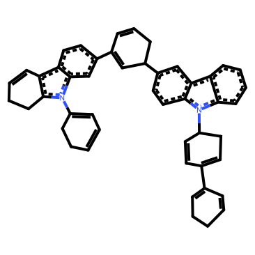 C1=CCCC(n2c3c(c4ccc(C5=CC(c6ccc7c(c6)c6ccccc6n7C6C=CC(C7=CCCC=C7)=CC6)CC=C5)cc42)C=CCC3)=C1